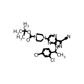 CC(c1ccc(Cl)cc1Cl)n1nc(C#N)c2ncc(N3CCN(C(=O)OC(C)(C)C)CC3)nc21